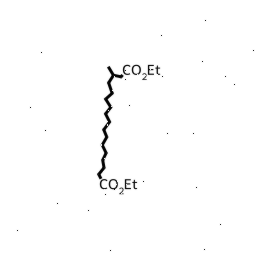 CCOC(=O)CCCCCCCCCCCCCC(C)CC(=O)OCC